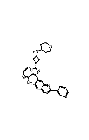 Nc1nccn2c1c(-c1ccc3ccc(-c4ccccc4)nc3c1)nc2[C@H]1C[C@@H](NC2CCOCC2)C1